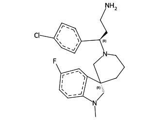 CN1C[C@]2(CCCN([C@H](CCN)c3ccc(Cl)cc3)C2)c2cc(F)ccc21